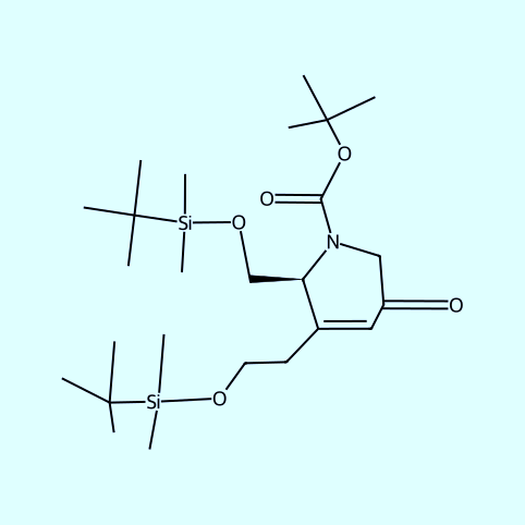 CC(C)(C)OC(=O)N1CC(=O)C=C(CCO[Si](C)(C)C(C)(C)C)[C@H]1CO[Si](C)(C)C(C)(C)C